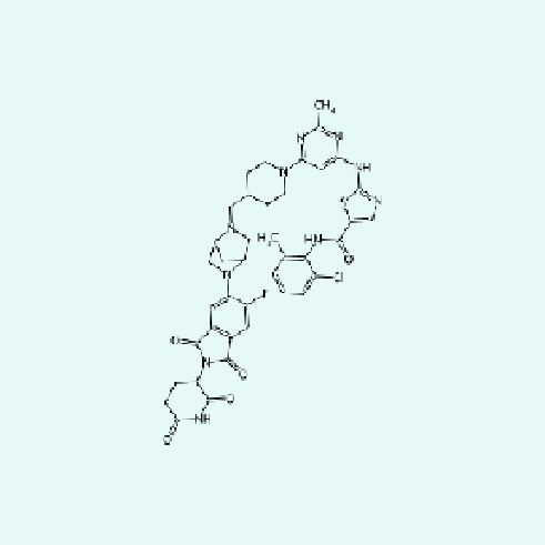 Cc1nc(Nc2ncc(C(=O)Nc3c(C)cccc3Cl)s2)cc(N2CCC(CN3CC4CC3CN4c3cc4c(cc3F)C(=O)N(C3CCC(=O)NC3=O)C4=O)CC2)n1